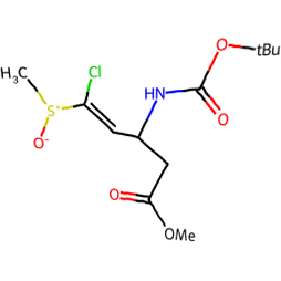 COC(=O)CC(/C=C(\Cl)[S+](C)[O-])NC(=O)OC(C)(C)C